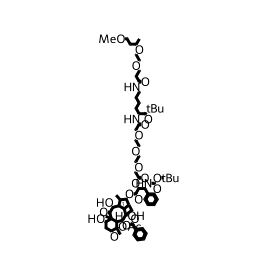 COCCC(C)OCCOCCC(=O)NCCCCC(NC(=O)COCCOCCOCC(=O)O[C@H](C(=O)O[C@H]1C(C)C2[C@H](O)C(=O)C3(C)C(O)CC4OC[C@]4(OC(C)=O)[C@@H]3[C@@H](OC(=O)c3ccccc3)C3(O)CC1[C@]23C)[C@H](NC(=O)OC(C)(C)C)c1ccccc1)C(=O)C(C)(C)C